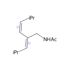 CC(=O)NCC(/C=C\C(C)C)=C/C(C)C